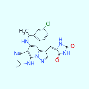 CC(Nc1cc2c(C=C3NC(=O)NC3=O)cnn2c(NC2CC2)c1C#N)c1cccc(Cl)c1